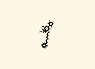 O=C1C[C@@H](c2ccccc2)C[C@@H](CCCCCCCc2ccccc2)N1O